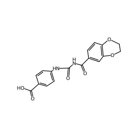 O=C(NC(=O)c1ccc2c(c1)OCCO2)Nc1ccc(C(=O)O)cc1